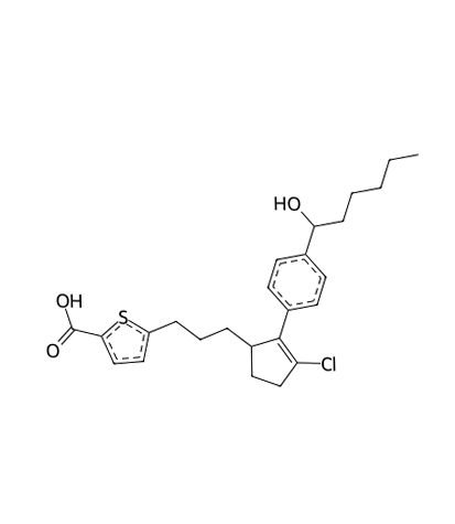 CCCCCC(O)c1ccc(C2=C(Cl)CCC2CCCc2ccc(C(=O)O)s2)cc1